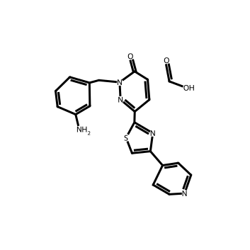 Nc1cccc(Cn2nc(-c3nc(-c4ccncc4)cs3)ccc2=O)c1.O=CO